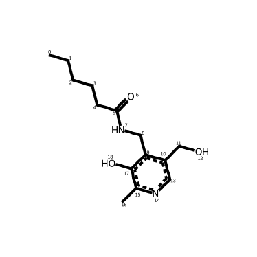 CCCCCC(=O)NCc1c(CO)cnc(C)c1O